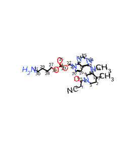 C[C@@H]1CCN(C(=O)CC#N)C[C@@H]1N(C)c1ncnc2c1ccn2COC(=O)OCCCCN